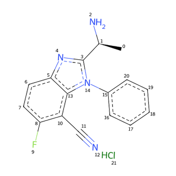 C[C@H](N)c1nc2ccc(F)c(C#N)c2n1-c1ccccc1.Cl